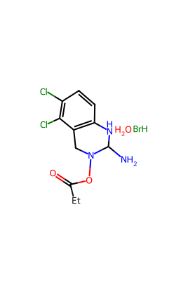 Br.CCC(=O)ON1Cc2c(ccc(Cl)c2Cl)NC1N.O